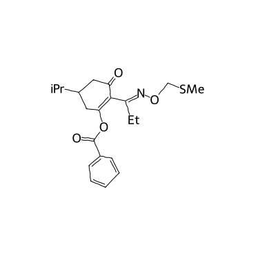 CCC(=NOCSC)C1=C(OC(=O)c2ccccc2)CC(C(C)C)CC1=O